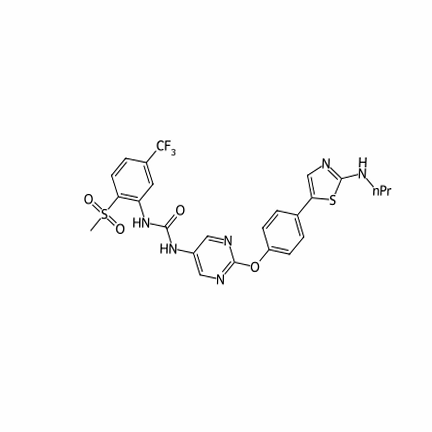 CCCNc1ncc(-c2ccc(Oc3ncc(NC(=O)Nc4cc(C(F)(F)F)ccc4S(C)(=O)=O)cn3)cc2)s1